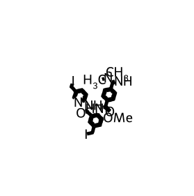 COc1cc(CI)cc(C(=O)Nc2ccc(CI)cn2)c1NC(=O)c1ccc(C(=N)N(C)C)cc1